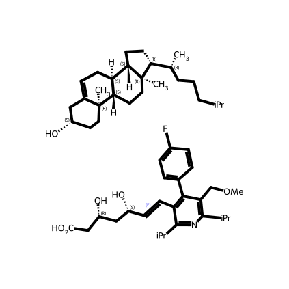 CC(C)CCC[C@@H](C)[C@H]1CC[C@H]2[C@@H]3CC=C4C[C@@H](O)CC[C@]4(C)[C@H]3CC[C@]12C.COCc1c(C(C)C)nc(C(C)C)c(/C=C/[C@@H](O)C[C@@H](O)CC(=O)O)c1-c1ccc(F)cc1